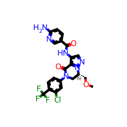 COC[C@@H]1CN(c2ccc(C(F)(F)F)c(Cl)c2)C(=O)c2c(NC(=O)c3ccc(N)nc3)cnn21